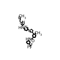 COCCn1cc(Nc2ccc(N3CCC(c4cc(C(=O)Nc5cccc(C(F)(F)F)c5)ccc4C)C3)cn2)cn1